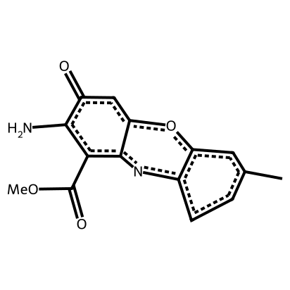 COC(=O)c1c2nc3ccc(C)cc3oc-2cc(=O)c1N